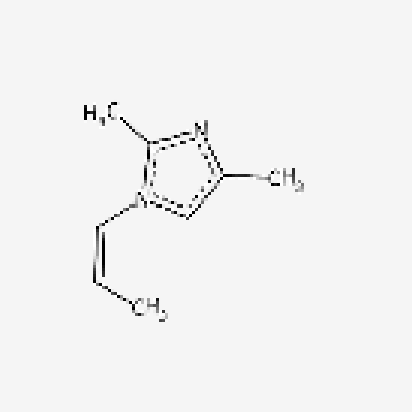 C/C=C\n1cc(C)nc1C